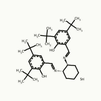 CC(C)(C)c1cc(C=N[C@H]2CCCC[C@@H]2N=Cc2cc(C(C)(C)C)cc(C(C)(C)C)c2O)c(O)c(C(C)(C)C)c1.[Sn]